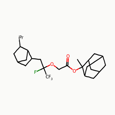 CC(C)C1CC2CC(CC(F)(OCC(=O)OC3(C)C4CC5CC(C4)CC3C5)C(F)(F)F)C1C2